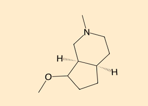 COC1CC[C@@H]2CCN(C)C[C@H]12